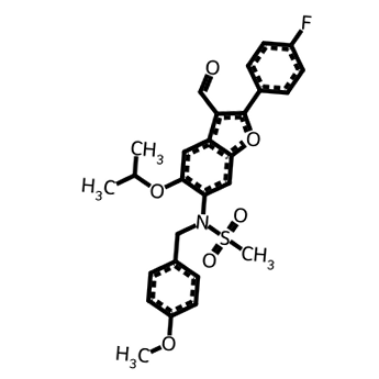 COc1ccc(CN(c2cc3oc(-c4ccc(F)cc4)c(C=O)c3cc2OC(C)C)S(C)(=O)=O)cc1